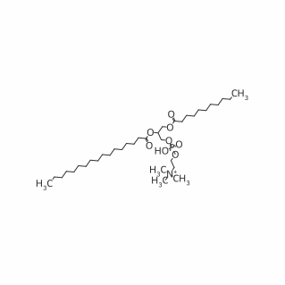 CCCCCCCCCCCCCCCCC(=O)OC(COC(=O)CCCCCCCCCC)COP(=O)(O)OCC[N+](C)(C)C